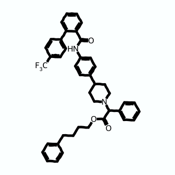 O=C(Nc1ccc(C2CCN(C(C(=O)OCCCCc3ccccc3)c3ccccc3)CC2)cc1)c1ccccc1-c1ccc(C(F)(F)F)cc1